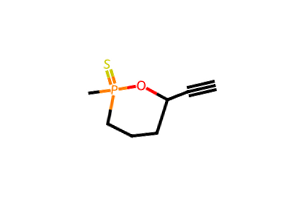 C#CC1CCCP(C)(=S)O1